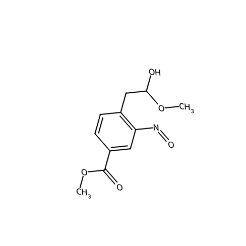 COC(=O)c1ccc(CC(O)OC)c(N=O)c1